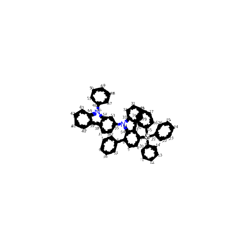 c1ccc(-c2ccc([Si](c3ccccc3)(c3ccccc3)c3ccccc3)c3c4ccccc4n(-c4ccc5c6ccccc6n(-c6ccccc6)c5c4)c23)cc1